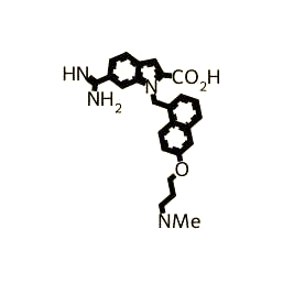 CNCCCOc1ccc2c(Cn3c(C(=O)O)cc4ccc(C(=N)N)cc43)cccc2c1